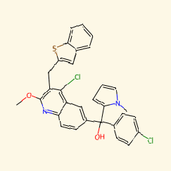 COc1nc2ccc(C(O)(c3ccc(Cl)cc3)c3cccn3C)cc2c(Cl)c1Cc1cc2ccccc2s1